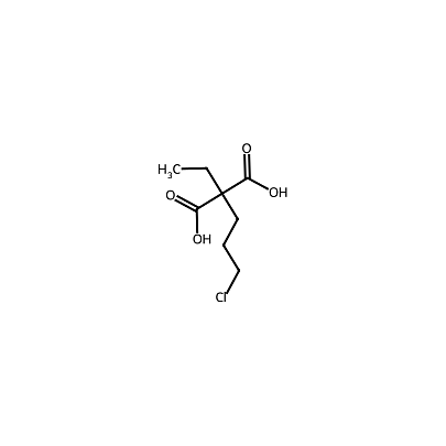 CCC(CCCCl)(C(=O)O)C(=O)O